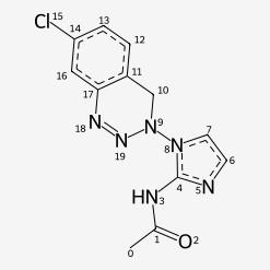 CC(=O)Nc1nccn1N1Cc2ccc(Cl)cc2N=N1